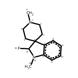 [CH2]N1CCC2(CC1)c1ccccc1N(C)C2F